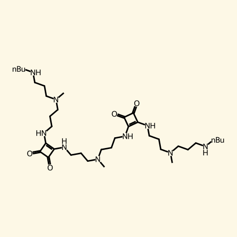 CCCCNCCCN(C)CCCNc1c(NCCCN(C)CCCNc2c(NCCCN(C)CCCNCCCC)c(=O)c2=O)c(=O)c1=O